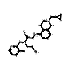 Cc1cccnc1CN(CCC(C)(C)C)C(=O)CNc1cccc2c1CCN(CC1CC1)C2